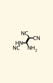 N#CNC(N)=C(C#N)C#N